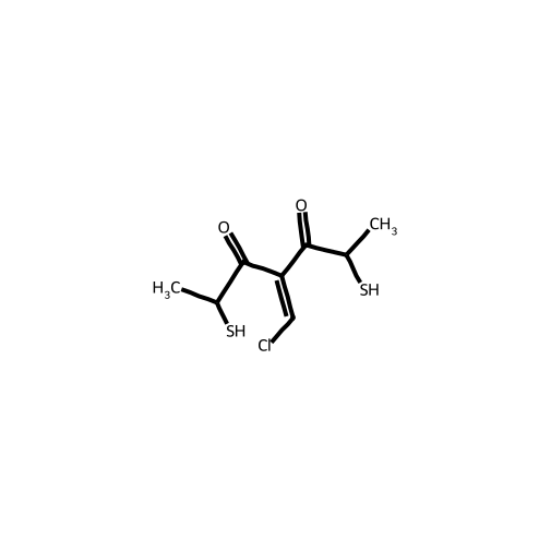 CC(S)C(=O)C(=CCl)C(=O)C(C)S